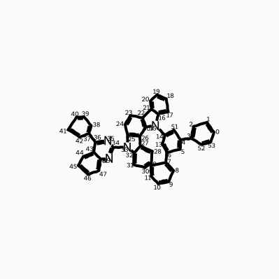 c1ccc(-c2cc(-c3ccccc3)cc(-n3c4ccccc4c4ccc5c(c6ccccc6n5-c5nc(-c6ccccc6)c6ccccc6n5)c43)c2)cc1